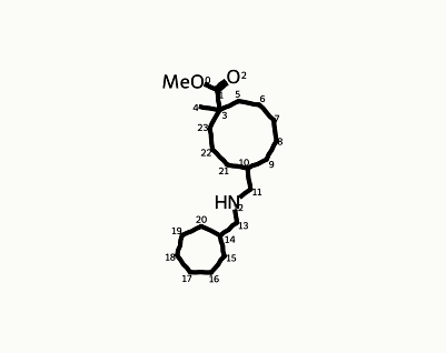 COC(=O)C1(C)CCCCCC(CNCC2CCCCCC2)CCC1